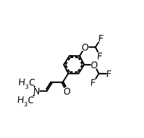 CN(C)/C=C/C(=O)c1ccc(OC(F)F)c(OC(F)F)c1